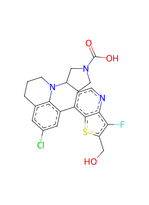 O=C(O)N1CCC(N2CCCc3cc(Cl)cc(-c4ccnc5c(F)c(CO)sc45)c32)C1